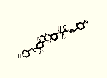 COc1cc2c(Oc3ccc(NC(=O)C(=O)NCCc4ccc(Br)cc4)cc3F)ccnc2cc1OCC1CCNCC1